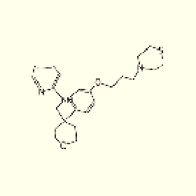 c1ccc(NCC2(c3ccc(OCCCN4CCSCC4)cc3)CCOCC2)nc1